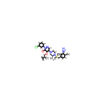 CCC1(COc2c(N3CCN(S(C)(C)Cc4ccc(C(C)=O)c(N)c4)CC3)cnn(-c3cccc(Cl)c3)c2=O)CC1